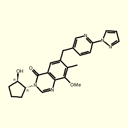 COc1c(C)c(Cc2ccc(-n3cccn3)nc2)cc2c(=O)n([C@@H]3CCC[C@H]3O)cnc12